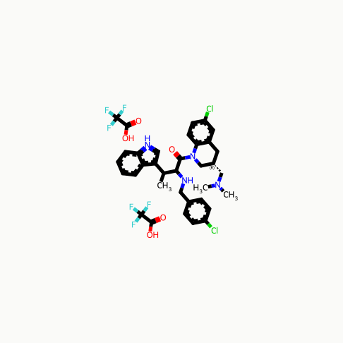 CC(c1c[nH]c2ccccc12)C(NCc1ccc(Cl)cc1)C(=O)N1C[C@@H](CN(C)C)Cc2cc(Cl)ccc21.O=C(O)C(F)(F)F.O=C(O)C(F)(F)F